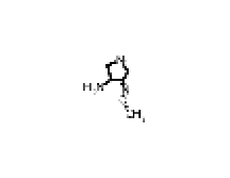 CO/N=C1/C[N]CC1N